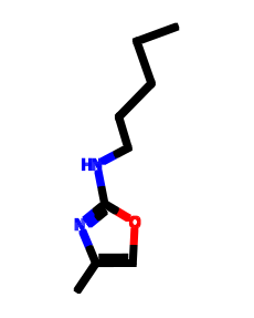 CCCCCNc1nc(C)co1